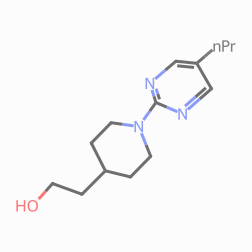 CCCc1cnc(N2CCC(CCO)CC2)nc1